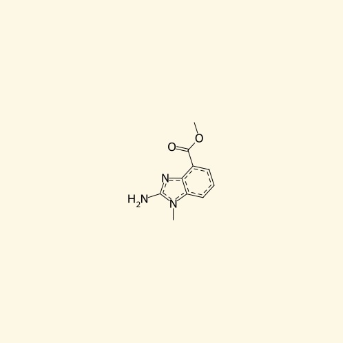 COC(=O)c1cccc2c1nc(N)n2C